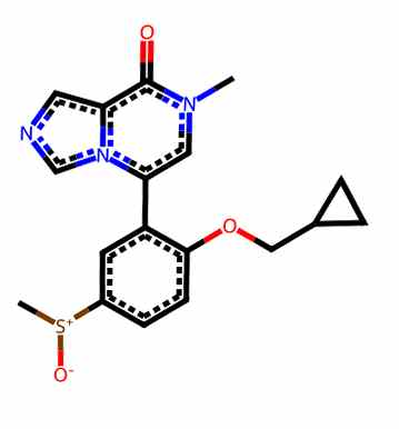 Cn1cc(-c2cc([S+](C)[O-])ccc2OCC2CC2)n2cncc2c1=O